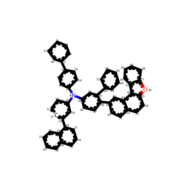 c1ccc(-c2ccc(N(c3cccc(-c4cccc5ccccc45)c3)c3ccc(-c4ccc5ccc6oc7ccccc7c6c5c4)c(-c4ccccc4)c3)cc2)cc1